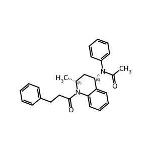 CC(=O)N(c1ccccc1)[C@H]1C[C@@H](C)N(C(=O)CCc2ccccc2)c2ccccc21